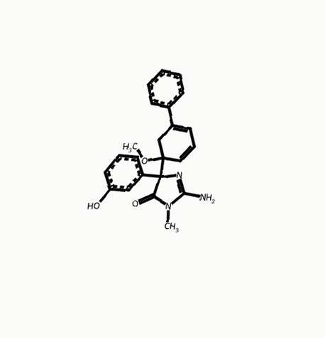 COC1(C2(c3cccc(O)c3)N=C(N)N(C)C2=O)C=CC=C(c2ccccc2)C1